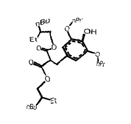 CCCCC(CC)COC(=O)C(Cc1cc(OCCC)c(O)c(OCCC)c1)C(=O)OCC(CC)CCCC